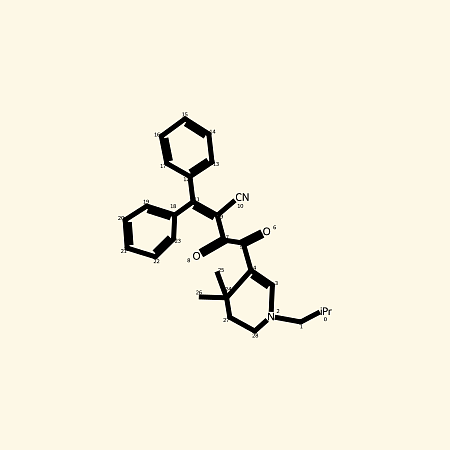 CC(C)CN1C=C(C(=O)C(=O)C(C#N)=C(c2ccccc2)c2ccccc2)C(C)(C)CC1